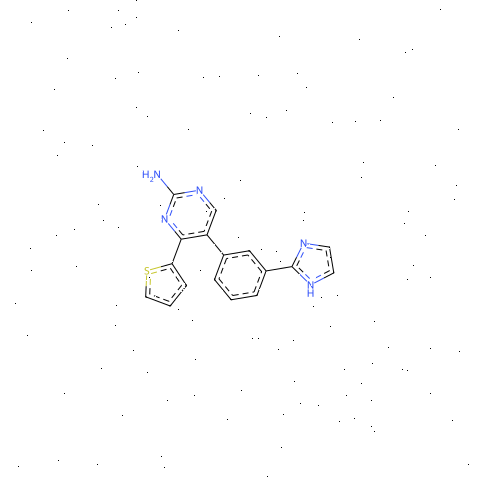 Nc1ncc(-c2cccc(-c3ncc[nH]3)c2)c(-c2cccs2)n1